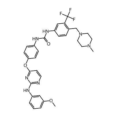 COc1cccc(Nc2nccc(Oc3ccc(NC(=O)Nc4ccc(CN5CCN(C)CC5)c(C(F)(F)F)c4)cc3)n2)c1